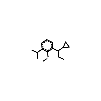 CCC(c1cccc(C(C)C)c1OC)C1CC1